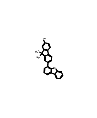 CC(C)c1ccc2c(c1)C(C)(C)c1cc(-c3cccc4c3sc3ccccc34)ccc1-2